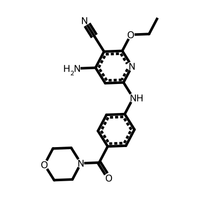 CCOc1nc(Nc2ccc(C(=O)N3CCOCC3)cc2)cc(N)c1C#N